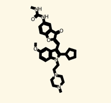 CNC(=O)Nc1ccc2c(c1)C(=O)/C(=C/c1c(C3CCCC3)n(CCN3CCN(C)CC3)c3ccc(OC)cc13)O2